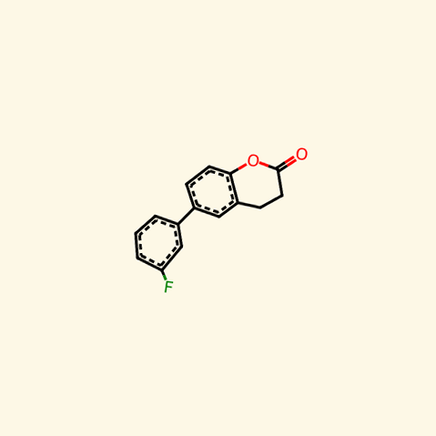 O=C1CCc2cc(-c3cccc(F)c3)ccc2O1